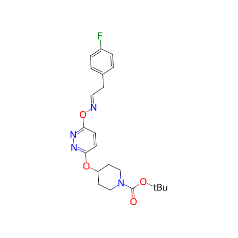 CC(C)(C)OC(=O)N1CCC(Oc2ccc(ON=CCc3ccc(F)cc3)nn2)CC1